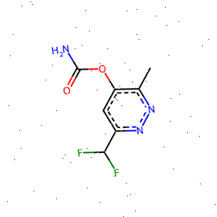 Cc1nnc(C(F)F)cc1OC(N)=O